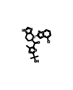 Cc1nc(C(C)(C)O)oc1C(=O)N1CCc2[nH]cnc2[C@@H]1c1cc2c(Cl)cccn2n1